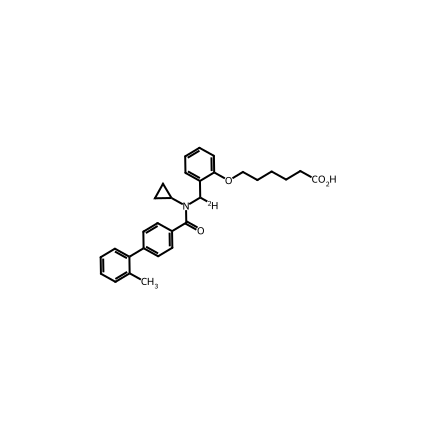 [2H]C(c1ccccc1OCCCCCC(=O)O)N(C(=O)c1ccc(-c2ccccc2C)cc1)C1CC1